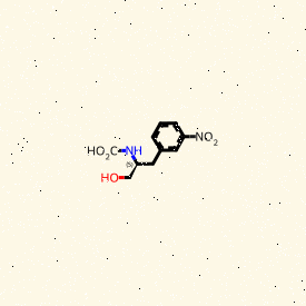 O=C(O)N[C@H](CO)Cc1cccc([N+](=O)[O-])c1